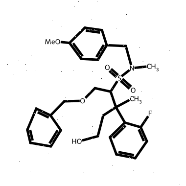 COc1ccc(CN(C)S(=O)(=O)C(COCc2ccccc2)C(C)(CCO)c2ccccc2F)cc1